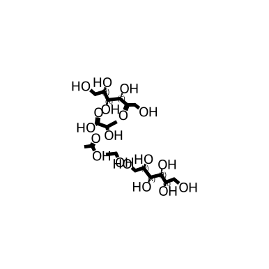 CC(=O)O.CC(O)C(=O)O.CCO.O=C(CO)[C@@H](O)[C@H](O)[C@H](O)CO.OC[C@@H](O)[C@@H](O)[C@H](O)[C@H](O)CO